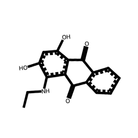 CCNc1c(O)cc(O)c2c1C(=O)c1ccccc1C2=O